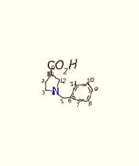 O=C(O)[C@@H]1CCN(Cc2ccccc2)C1